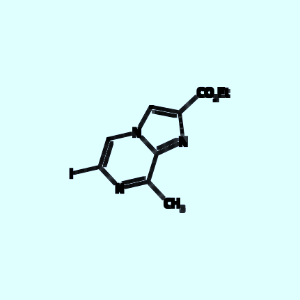 CCOC(=O)c1cn2cc(I)nc(C)c2n1